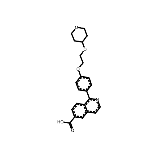 O=C(O)c1ccc2c(-c3ccc(OCCOC4CCOCC4)cc3)nccc2c1